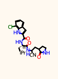 CC(C)C[C@H](NC(=O)c1cc2cccc(Cl)c2[nH]1)C(=O)NC(C#N)CC1CCNC1=O